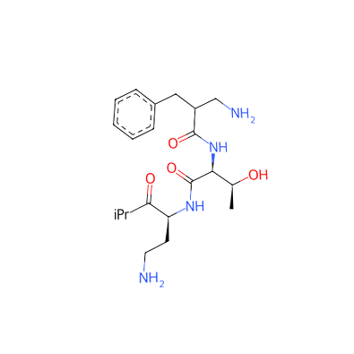 CC(C)C(=O)[C@H](CCN)NC(=O)[C@@H](NC(=O)C(CN)Cc1ccccc1)[C@H](C)O